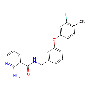 Nc1ncccc1C(=O)NCc1cccc(Oc2ccc(C(F)(F)F)c(F)c2)c1